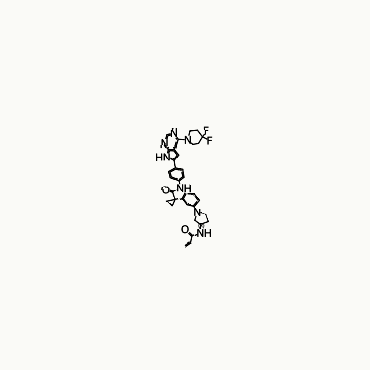 C=CC(=O)N[C@@H]1CCN(c2cccc(C3(C(=O)Nc4ccc(-c5cc6c(N7CCC(F)(F)CC7)ncnc6[nH]5)cc4)CC3)c2)C1